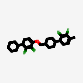 CC1=CCC(C2CCC(COC3=CCC(C4CCCCC4)C(F)=C3F)CC2)C(F)=C1F